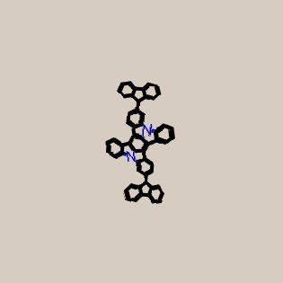 c1ccc2c(c1)-c1ccccc1C2c1ccc2c3c4c5ccccc5n5c6cc(C7c8ccccc8-c8ccccc87)ccc6c(c6c7ccccc7n(c2c1)c63)c45